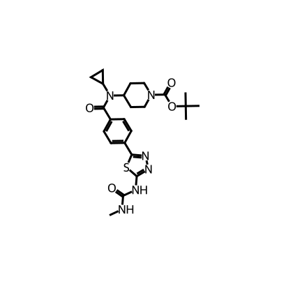 CNC(=O)Nc1nnc(-c2ccc(C(=O)N(C3CC3)C3CCN(C(=O)OC(C)(C)C)CC3)cc2)s1